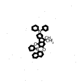 CC1(C)c2cc(N(c3ccccc3)c3ccccc3)ccc2-c2c1cc1c3c2Oc2ccccc2B3c2c(ccc3ccccc23)O1